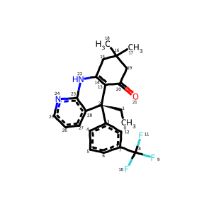 CC[C@]1(c2cccc(C(F)(F)F)c2)C2=C(CC(C)(C)CC2=O)Nc2ncccc21